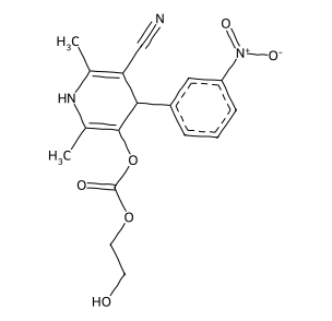 CC1=C(C#N)C(c2cccc([N+](=O)[O-])c2)C(OC(=O)OCCO)=C(C)N1